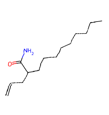 C=CCC(CCCCCCCCC)C(N)=O